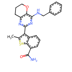 Cc1sc2c(C(N)=O)cccc2c1-c1nc2c(c(NCc3ccccc3)n1)OCCC2